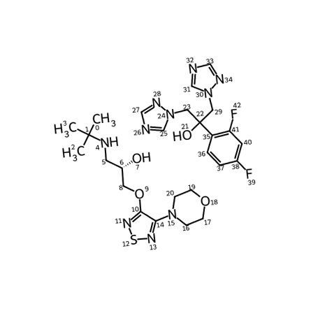 CC(C)(C)NC[C@H](O)COc1nsnc1N1CCOCC1.OC(Cn1cncn1)(Cn1cncn1)c1ccc(F)cc1F